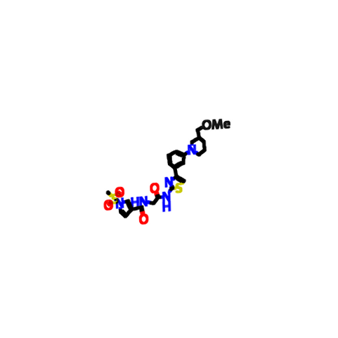 COCC1CCCN(c2cccc(-c3csc(NC(=O)CNC(=O)c4ccn(S(C)(=O)=O)c4)n3)c2)C1